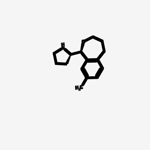 Cc1ccc2c(c1)[C@@H]([C@@H]1CCCN1)OCCC2